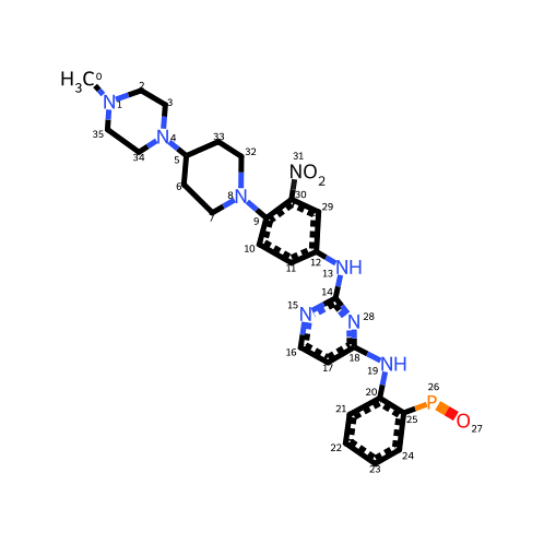 CN1CCN(C2CCN(c3ccc(Nc4nccc(Nc5ccccc5P=O)n4)cc3[N+](=O)[O-])CC2)CC1